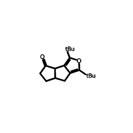 CC(C)(C)c1oc(C(C)(C)C)c2c1CC1CCC(=O)C21